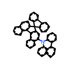 c1ccc(-c2ccccc2N(c2ccccc2)c2cc3c(c4ccccc24)-c2c(ccc4ccccc24)C32c3ccccc3-c3ccccc32)cc1